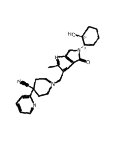 Cc1nc2c(cc1CN1CCC(C#N)(c3ccccn3)CC1)C(=O)N([C@H]1CCCC[C@@H]1O)C2